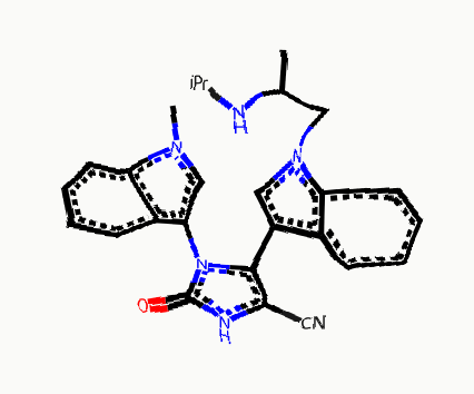 CC(C)NC(C)Cn1cc(-c2c(C#N)[nH]c(=O)n2-c2cn(C)c3ccccc23)c2ccccc21